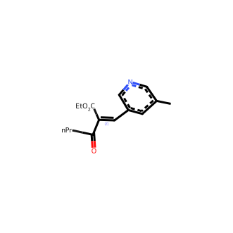 CCCC(=O)/C(=C/c1cncc(C)c1)C(=O)OCC